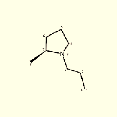 [CH2]CCN1CCC[C@@H]1C